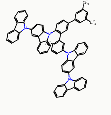 N#Cc1ccc(-n2c3ccccc3c3cc(-n4c5ccccc5c5ccccc54)ccc32)cc1-c1cc(-c2cc(C(F)(F)F)cc(C(F)(F)F)c2)ccc1-n1c2ccccc2c2cc(-n3c4ccccc4c4ccccc43)ccc21